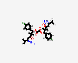 CC(C)C(N)CC(=O)C(C)(C)C(OC(=O)C(=O)OC(c1ccc(F)cc1)C(C)(C)C(=O)CC(N)C(C)C)c1ccc(F)cc1